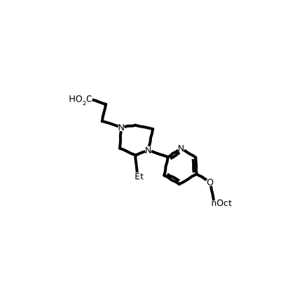 CCCCCCCCOc1ccc(N2CCN(CCC(=O)O)CC2CC)nc1